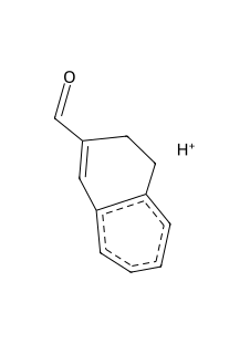 O=CC1=Cc2ccccc2CC1.[H+]